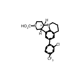 O=C(O)N1CC[C@H]2[C@@H](C1)c1cc(-c3ccc(C(F)(F)F)cc3Cl)cc3c1N2CCC3